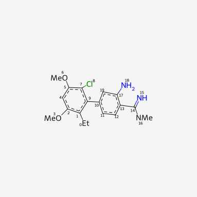 CCc1c(OC)cc(OC)c(Cl)c1-c1ccc(C(=N)NC)c(N)c1